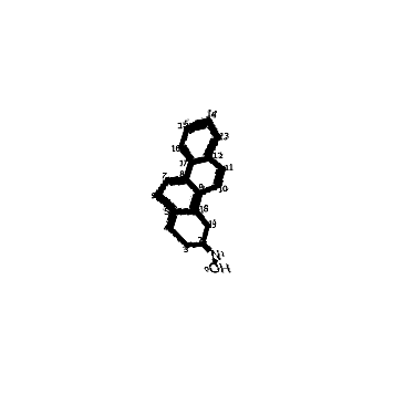 ON=C1CCc2ccc3c(ccc4ccccc43)c2C1